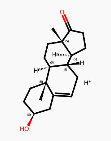 C[C@]12CC[C@H](O)CC1=CC[C@@H]1[C@@H]2CC[C@]2(C)C(=O)CC[C@@H]12.[H+]